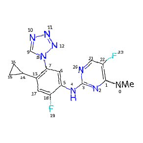 CNc1nc(Nc2cc(-n3cnnn3)c(C3CC3)cc2F)ncc1F